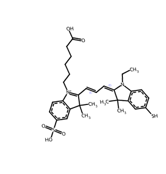 CCN1/C(=C/C=C/C2=[N+](CCCCCC(=O)O)c3ccc(S(=O)(=O)O)cc3C2(C)C)C(C)(C)c2cc(S)ccc21